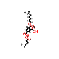 CC=CC(=O)OOC(=O)c1ccc(C(=O)OCCCCCC)c(C(=O)O)c1